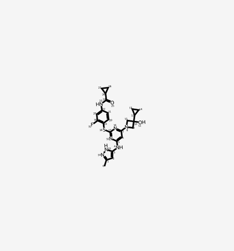 Cc1cc(Nc2cc(N3CC(O)(C4CC4)C3)nc(Sc3ccc(NC(=O)C4CC4)cc3F)n2)[nH]n1